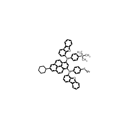 CC(C)Sc1ccc(N(c2cc(N(c3ccc([Si](C)(C)C)cc3)c3cccc4c3oc3ccccc34)c3ccc4cc(C5CCCCC5)cc5ccc2c3c54)c2cccc3c2oc2ccccc23)cc1